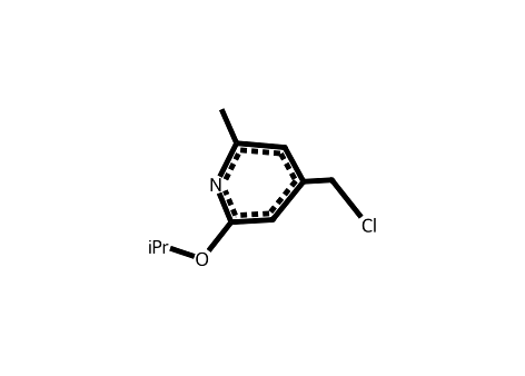 Cc1cc(CCl)cc(OC(C)C)n1